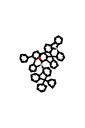 c1ccc(-c2ccccc2-c2ccccc2N(c2cccc3c2-c2ccccc2C3(c2ccccc2)c2ccccc2)c2cccc3c2-c2ccccc2C32c3ccccc3-n3c4ccccc4c4cccc2c43)cc1